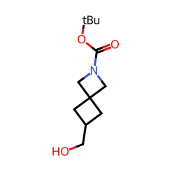 CC(C)(C)OC(=O)N1CC2(CC(CO)C2)C1